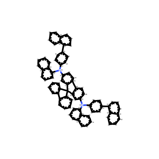 c1ccc2c(c1)-c1ccccc1C21c2cc(N(c3ccc(-c4cccc5ccccc45)cc3)c3cccc4ccccc34)ccc2-c2ccc(N(c3ccc(-c4cccc5ccccc45)cc3)c3cccc4ccccc34)cc21